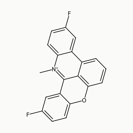 C[n+]1c2c3c(cccc3c3cc(F)ccc31)Oc1ccc(F)cc1-2